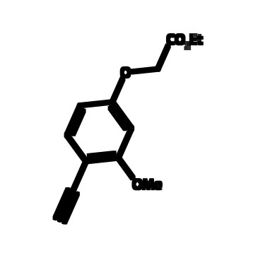 C#Cc1ccc(OCC(=O)OCC)cc1OC